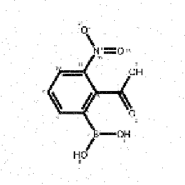 O=C(O)c1c(B(O)O)cccc1[N+](=O)[O-]